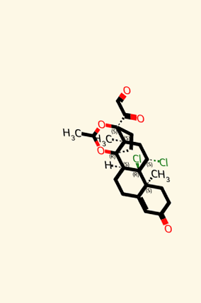 CC1O[C@@]2(C(=O)C=O)CC[C@@]3(O1)[C@@H]1CCC4=CC(=O)CC[C@]4(C)[C@@]1(Cl)[C@@H](Cl)C[C@]23C